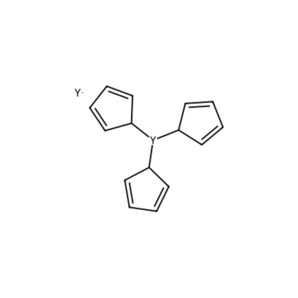 C1=C[CH]([Y]([CH]2C=CC=C2)[CH]2C=CC=C2)C=C1.[Y]